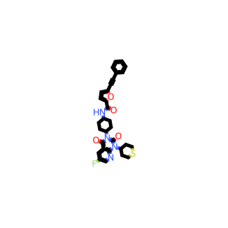 O=C(NC1CCC(n2c(=O)c3cc(F)cnc3n(C3CCSCC3)c2=O)CC1)c1ccc(C#Cc2ccccc2)o1